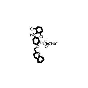 CC(=O)[O-].Clc1cccc(Cl)c1Nc1ccc(OCc2ccc3ccccc3n2)cc1.[Na+]